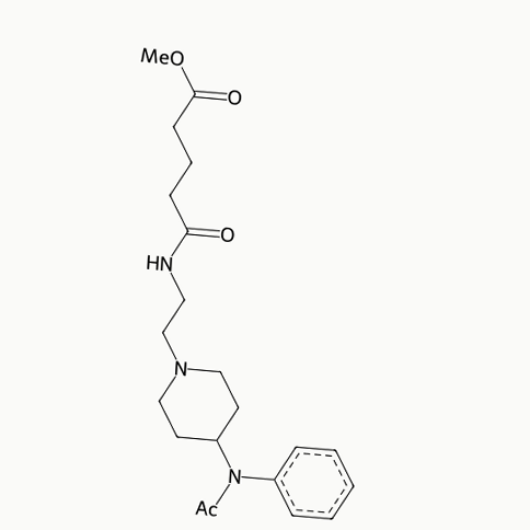 COC(=O)CCCC(=O)NCCN1CCC(N(C(C)=O)c2ccccc2)CC1